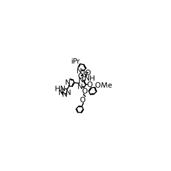 COc1ccccc1Oc1c(NS(=O)(=O)c2ccc(C(C)C)cn2)nc(-c2ccnc(-c3nnn[nH]3)c2)nc1OCCOCc1ccccc1